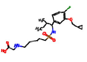 CC(C)C(NS(=O)(=O)CCCCCNCC(=O)O)c1ccc(F)c(OCC2CC2)c1